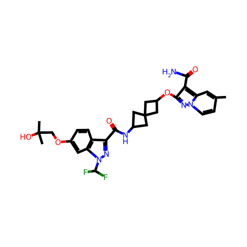 Cc1ccn2nc(OC3CC4(CC(NC(=O)c5nn(C(F)F)c6cc(OCC(C)(C)O)ccc56)C4)C3)c(C(N)=O)c2c1